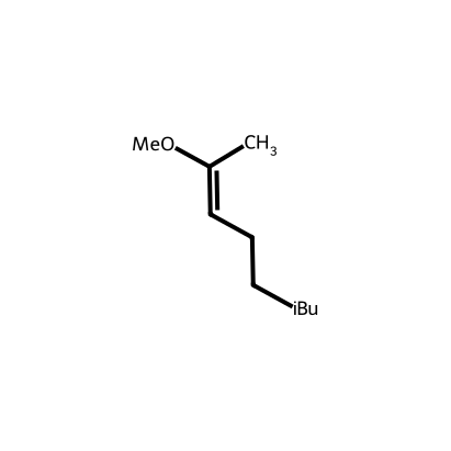 CCC(C)CCC=C(C)OC